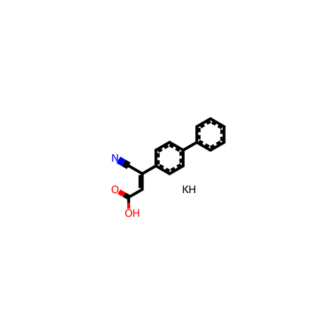 N#C/C(=C\C(=O)O)c1ccc(-c2ccccc2)cc1.[KH]